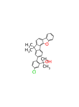 CC(C)(O)c1cc(Cl)ccc1-c1ccc2c(c1)C(C)(C)c1ccc3c(oc4ccccc43)c1-2